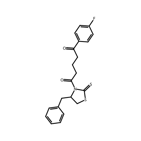 O=C(CCCC(=O)N1C(=S)SCC1Cc1ccccc1)c1ccc(F)cc1